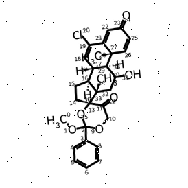 COC1(c2ccccc2)OCC(=O)[C@]2(CC[C@H]3[C@@H]4C=C(Cl)C5=CC(=O)C=C[C@]5(C)[C@H]4[C@@H](O)C[C@@]32C)O1